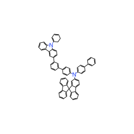 C1=CCCC(n2c3ccccc3c3cc(-c4cccc(-c5ccc(N(c6ccc(-c7ccccc7)cc6)c6ccc7c(c6)C6(c8ccccc8-c8ccccc86)c6ccccc6-7)cc5)c4)ccc32)=C1